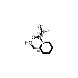 [O-]/[NH+]=[N+](\[O-])N1CCCC[C@H]1CO